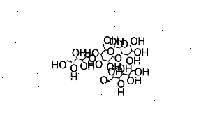 O=C[C@H](O)[C@@H](O)[C@H](O)[C@H](O)CO.O=C[C@H](O)[C@H](O)[C@H](O)CO.OC[C@H]1O[C@@H](O[C@H]2[C@H](O)[C@@H](O)[C@H](O)O[C@@H]2CO)[C@H](O)[C@@H](O)[C@H]1O